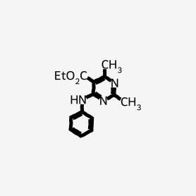 CCOC(=O)c1c(C)nc(C)nc1Nc1ccccc1